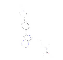 CN1CCC(c2ccc(-c3cc4nccnc4c(NC[C@@H]4CN(C(=O)C(F)F)CCO4)n3)cc2)CC1